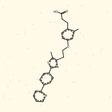 Cc1cc(OCCc2nc(-c3ccc(-c4ccccn4)cc3)sc2C)ccc1CCC(=O)O